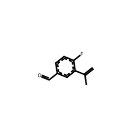 C=C(C)c1cc(C=O)ccc1F